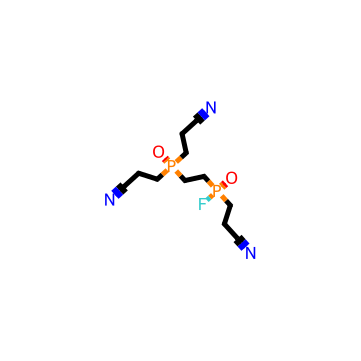 N#CCCP(=O)(F)CCP(=O)(CCC#N)CCC#N